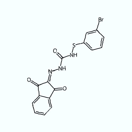 O=C(NN=c1c(=O)c2ccccc2c1=O)NSc1cccc(Br)c1